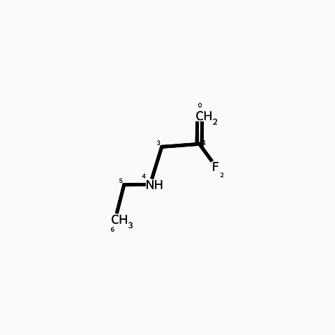 C=C(F)CNCC